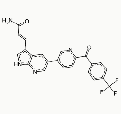 NC(=O)C=Cc1c[nH]c2ncc(-c3ccc(C(=O)c4ccc(C(F)(F)F)cc4)nc3)cc12